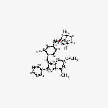 COc1nc(C)c2nc(-c3cncnc3)n(Cc3ccc(O[C@H]4C[C@H]5CC[C@@H](C4)N5C)cc3F)c2n1